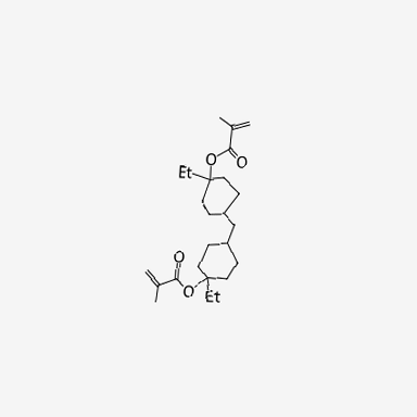 C=C(C)C(=O)OC1(CC)CCC(CC2CCC(CC)(OC(=O)C(=C)C)CC2)CC1